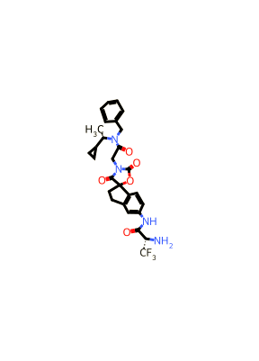 C[C@@H](C1CC1)N(Cc1ccccc1)C(=O)CN1C(=O)OC2(CCc3cc(NC(=O)[C@H](N)C(F)(F)F)ccc32)C1=O